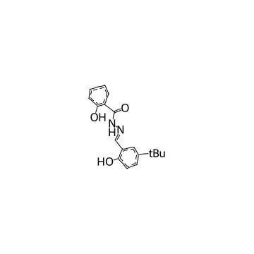 CC(C)(C)c1ccc(O)c(C=NNC(=O)c2ccccc2O)c1